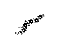 C=CC(=O)N1CCC(Nc2cc3c(Nc4ccc(Oc5ccnc(N6CCC(C)(C#N)CC6)c5)cc4F)ncnc3cc2OC)CC1